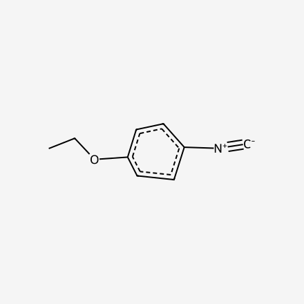 [C-]#[N+]c1ccc(OCC)cc1